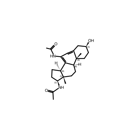 CC(=O)NC1=C2[C@@H]3CC[C@H](NC(C)=O)[C@@]3(C)CC[C@@H]2[C@@]2(C)CC[C@H](O)CC2=C1